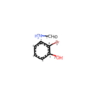 NC=O.Oc1ccccc1Br